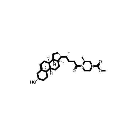 COC(=O)N1CCN(C(=O)CC[C@@H](C)[C@H]2CC[C@H]3[C@@H]4CC=C5C[C@@H](O)CC[C@]5(C)[C@H]4CC[C@]23C)[C@@H](C)C1